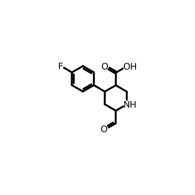 O=CC1CC(c2ccc(F)cc2)C(C(=O)O)CN1